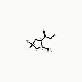 C=C(CC)C1CC(F)(F)CN1N